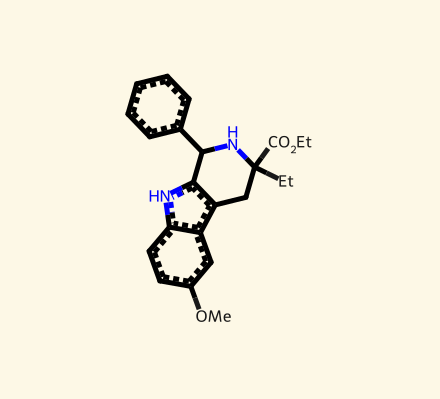 CCOC(=O)C1(CC)Cc2c([nH]c3ccc(OC)cc23)C(c2ccccc2)N1